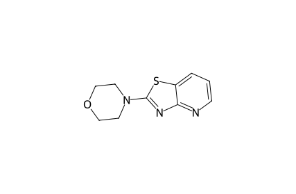 c1cnc2nc(N3CCOCC3)sc2c1